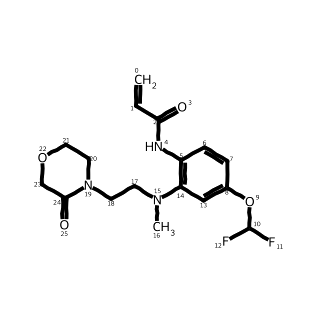 C=CC(=O)Nc1ccc(OC(F)F)cc1N(C)CCN1CCOCC1=O